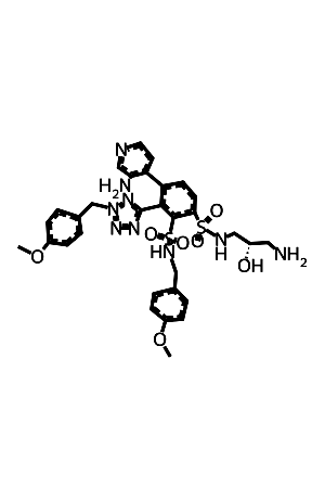 COc1ccc(CNS(=O)(=O)c2c(S(=O)(=O)NC[C@@H](O)CN)ccc(-c3ccncc3N)c2-c2nnn(Cc3ccc(OC)cc3)n2)cc1